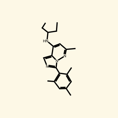 CCC(CC)Nc1cc(C)nn2c(-c3c(C)cc(C)cc3C)ncc12